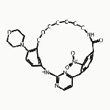 O=C1NCCCCCOCc2cc(ccc2N2CCOCC2)Nc2nccc(n2)-c2ccc1cc2[N+](=O)[O-]